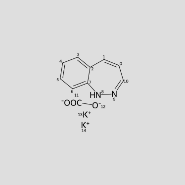 C1=Cc2ccccc2NN=C1.O=C([O-])[O-].[K+].[K+]